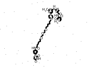 Cc1nc(Nc2ncc(C(=O)Nc3c(C)cccc3Cl)s2)cc(N2CCN(CCCCCCOCCOCCOCCCCCC(=O)Nc3ccc(N4CCC(=O)NC4=O)cc3)CC2)n1